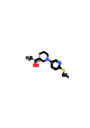 CSc1ccc(N2CCC[C@@H]([C@@H](C)O)C2)cn1